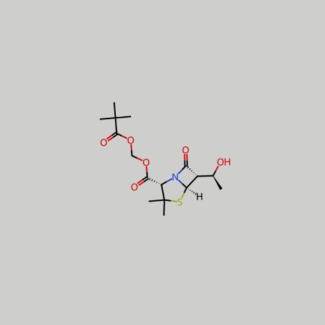 C[C@H](O)[C@H]1C(=O)N2[C@@H]1SC(C)(C)[C@@H]2C(=O)OCOC(=O)C(C)(C)C